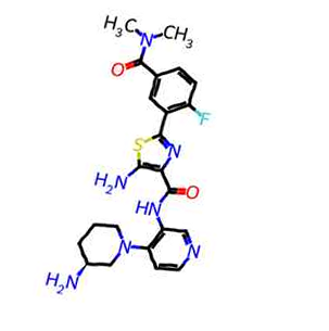 CN(C)C(=O)c1ccc(F)c(-c2nc(C(=O)Nc3cnccc3N3CCC[C@H](N)C3)c(N)s2)c1